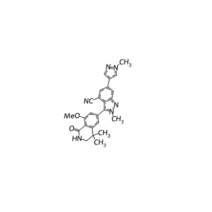 COc1cc(-c2c3c(C#N)cc(-c4cnn(C)c4)cc3nn2C)cc2c1C(=O)NCC2(C)C